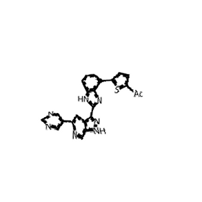 CC(=O)c1ccc(-c2cccc3[nH]c(-c4n[nH]c5cnc(-c6cncnc6)cc45)nc23)s1